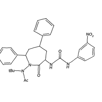 CC(=O)N(N1C(=O)C(NC(=O)Nc2cccc([N+](=O)[O-])c2)CC(c2ccccc2)CC1c1ccccc1)C(C)(C)C